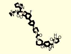 Cn1nc(N2CCC(=O)NC2=O)c2ccc(C3(O)CCCN(CC(=O)N4CCN(c5ccc(-c6cc(F)c7c(c6)C(=O)N(C(C(=O)Nc6nccs6)c6ncn8c6CCC8)C7)cc5)CC4)CC3)cc21